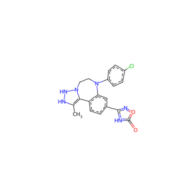 CC1=C2c3ccc(-c4noc(=O)[nH]4)cc3N(c3ccc(Cl)cc3)CCN2NN1